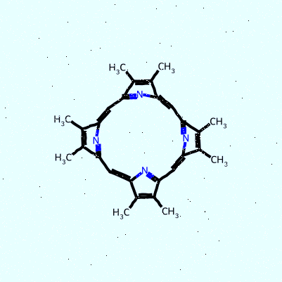 CC1=C(C)C2=NC1=CC1=NC(=CC3=NC(=CC4=NC(=C2)C(C)=C4C)C(C)=C3C)C(C)=C1C